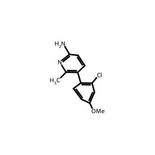 COc1ccc(-c2ccc(N)nc2C)c(Cl)c1